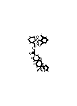 Cc1cccc(Cl)c1S(=O)(=O)N1CCCCC1COCC(=O)N1CCC2(CC1)CCC(c1cccs1)(N(C)C)CC2